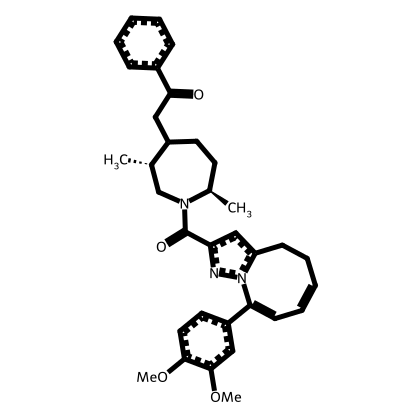 COc1ccc(/C2=C/C=C\CCc3cc(C(=O)N4C[C@H](C)C(CC(=O)c5ccccc5)CC[C@H]4C)nn32)cc1OC